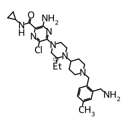 CC[C@H]1CN(c2nc(N)c(C(=O)NC3CC3)nc2Cl)CCN1C1CCN(Cc2ccc(C)cc2CN)CC1